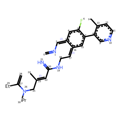 C=N/C=c1/cc(F)c(-c2cnccc2C)c/c1=C/CNC(=N)/C=C(\C)CN(C(=C)CC)C(C)C